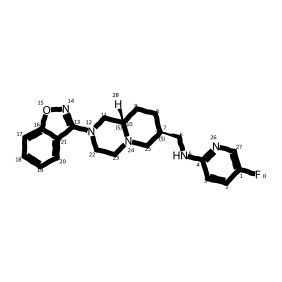 Fc1ccc(NC[C@@H]2CC[C@H]3CN(c4noc5ccccc45)CCN3C2)nc1